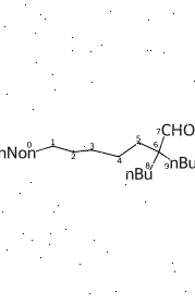 CCCCCCCCCCCCCCC(C=O)(CCCC)CCCC